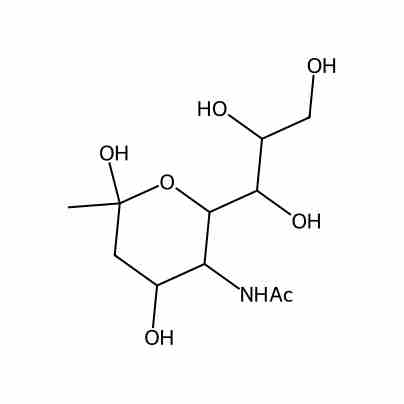 CC(=O)NC1C(O)CC(C)(O)OC1C(O)C(O)CO